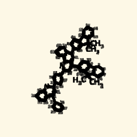 CC1(C)C2=C(CCC=C2)c2ccc(-c3cc(-c4ccc(-c5cc(-c6ccccc6)c6ccccc6n5)cc4)nc4c3cc(-c3ccc5c(c3)C(C)(C)c3ccccc3-5)c3ccccc34)cc21